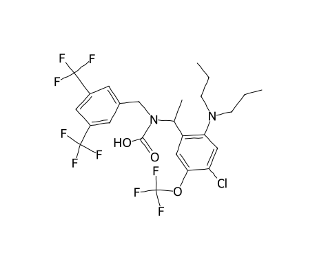 CCCN(CCC)c1cc(Cl)c(OC(F)(F)F)cc1C(C)N(Cc1cc(C(F)(F)F)cc(C(F)(F)F)c1)C(=O)O